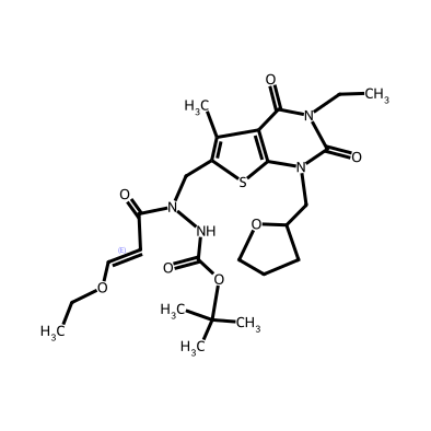 CCO/C=C/C(=O)N(Cc1sc2c(c1C)c(=O)n(CC)c(=O)n2CC1CCCO1)NC(=O)OC(C)(C)C